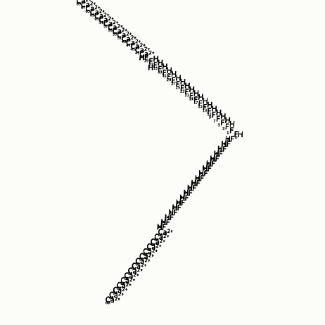 F.F.F.F.F.F.F.F.F.F.F.F.F.F.F.F.F.F.F.F.F.F.F.F.F.F.F.F.F.F.F.F.F.F.F.F.F.F.F.F.[Ca+2].[Ca+2].[Ca+2].[Ca+2].[Ca+2].[Ca+2].[Ca+2].[Ca+2].[Ca+2].[Ca+2].[Ca+2].[Ca+2].[Ca+2].[Ca+2].[Ca+2].[Ca+2].[Ca+2].[Ca+2].[Ca+2].[Ca+2].[Ca+2].[Ca+2].[Ca+2].[Ca+2].[Ca+2].[Ca+2].[Ca+2].[Ca+2].[Ca+2].[Ca+2]